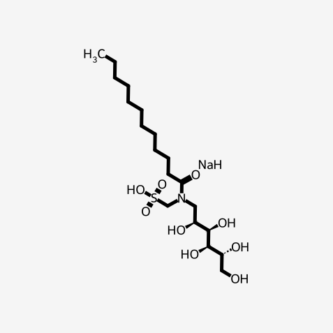 CCCCCCCCCCCC(=O)N(C[C@H](O)[C@@H](O)[C@H](O)[C@H](O)CO)CS(=O)(=O)O.[NaH]